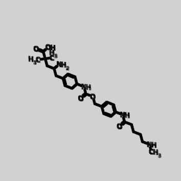 CNCCCCC(=O)Nc1ccc(COC(=O)NC2C=CC(CC(N)CC(C)(C)C(=O)O)=CC2)cc1